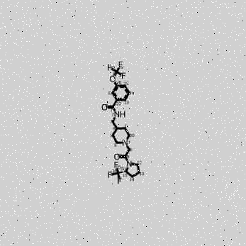 O=C(NCC1CCN(CC(=O)N2CCC[C@H]2C(F)(F)F)CC1)c1cccc(OC(F)(F)F)c1